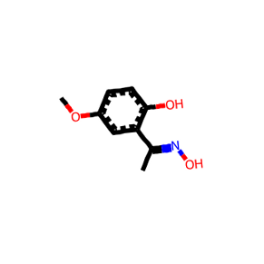 COc1ccc(O)c(C(C)=NO)c1